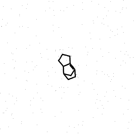 [C]1CCC2C1=C1CCC2C1